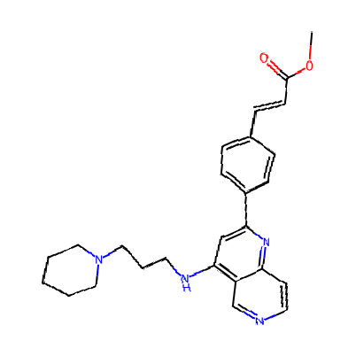 COC(=O)C=Cc1ccc(-c2cc(NCCCN3CCCCC3)c3cnccc3n2)cc1